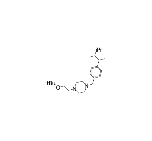 CC(C)C(C)C(C)c1ccc(CN2CCN(CCOC(C)(C)C)CC2)cc1